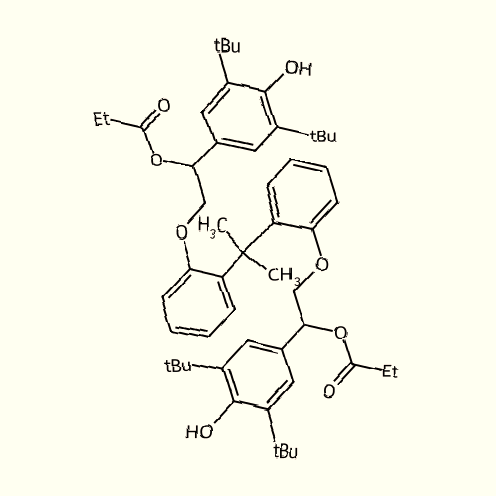 CCC(=O)OC(COc1ccccc1C(C)(C)c1ccccc1OCC(OC(=O)CC)c1cc(C(C)(C)C)c(O)c(C(C)(C)C)c1)c1cc(C(C)(C)C)c(O)c(C(C)(C)C)c1